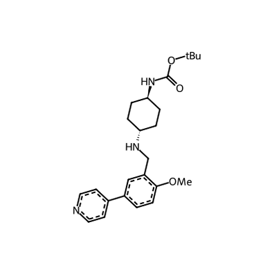 COc1ccc(-c2ccncc2)cc1CN[C@H]1CC[C@H](NC(=O)OC(C)(C)C)CC1